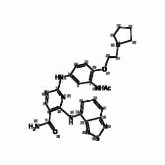 CC(=O)Nc1cc(Nc2ncc(C(N)=O)c(Nc3cccc4nsnc34)n2)ccc1OCCN1CCCC1